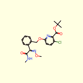 CNC(=O)/C(=N\OC)c1ccccc1COc1ccc(Cl)c(C(=O)OC(C)(C)C)n1